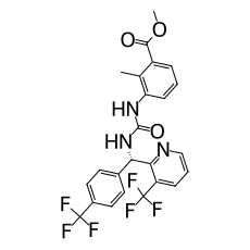 COC(=O)c1cccc(NC(=O)N[C@@H](c2ccc(C(F)(F)F)cc2)c2ncccc2C(F)(F)F)c1C